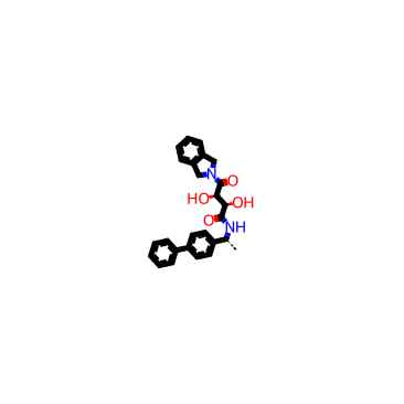 C[C@@H](NC(=O)[C@H](O)[C@@H](O)C(=O)N1Cc2ccccc2C1)c1ccc(-c2ccccc2)cc1